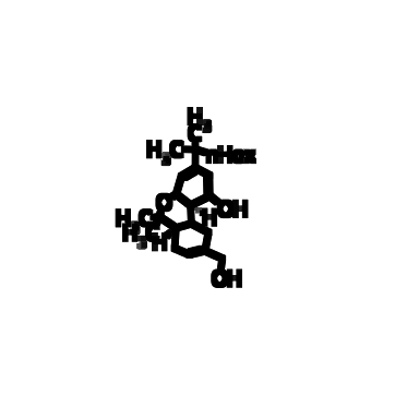 CCCCCCC(C)(C)C1=CC2OC(C)(C)[C@H]3CC=C(CO)CC3[C@@H]2C(O)=C1